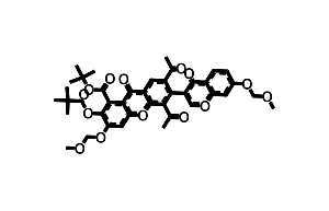 COCOc1ccc2c(=O)c(-c3c(C(C)=O)cc4c(=O)c5c(C(=O)OC(C)(C)C)c(OC(=O)C(C)(C)C)c(OCOC)cc5oc4c3C(C)=O)coc2c1